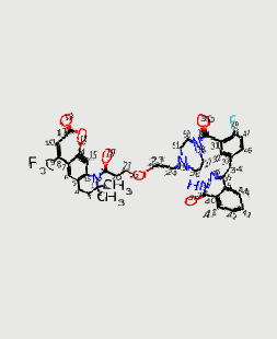 CC1(C)CCc2cc3c(C(F)(F)F)cc(=O)oc3cc2N1C(=O)CCOCCN1CCN(C(=O)c2cc(Cc3n[nH]c(=O)c4ccccc34)ccc2F)CC1